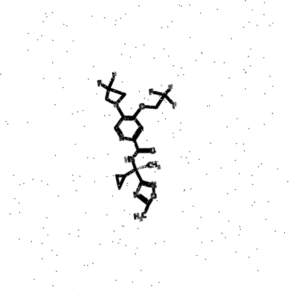 Cc1nc([C@](C)(NC(=O)c2cc(OCC(F)(F)F)c(N3CC(F)(F)C3)cn2)C2CC2)no1